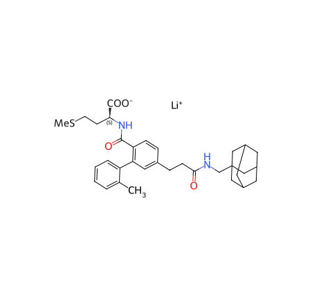 CSCC[C@H](NC(=O)c1ccc(CCC(=O)NCC23CC4CC(CC(C4)C2)C3)cc1-c1ccccc1C)C(=O)[O-].[Li+]